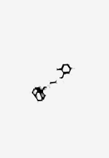 O=C(OCCNC(=O)C12CC3CC(CC(C3)C1)C2)c1ccccc1Cl